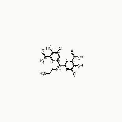 NCCNC(c1cc(Cl)c(O)c(C(=O)O)c1)c1cc(Cl)c(O)c(C(=O)O)c1